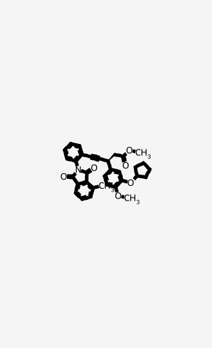 COC(=O)C[C@H](C#Cc1ccccc1N1C(=O)c2cccc(C)c2C1=O)c1ccc(OC)c(OC2CCCC2)c1